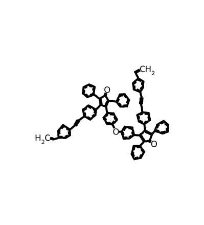 C=Cc1ccc(C#Cc2ccc(C3=C(c4ccccc4)C(=O)C(c4ccccc4)=C3c3ccc(Oc4ccc(C5=C(c6ccccc6)C(=O)C(c6ccccc6)=C5c5ccc(C#Cc6ccc(C=C)cc6)cc5)cc4)cc3)cc2)cc1